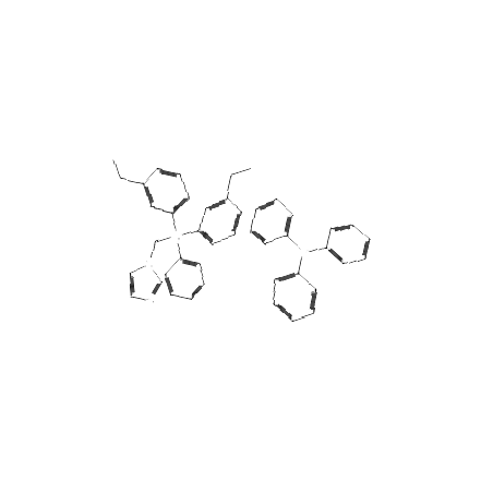 CCc1cccc([Si](Cn2ccnc2)(c2ccccc2)c2cccc(CC)c2)c1.c1ccc(B(c2ccccc2)c2ccccc2)cc1